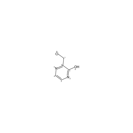 Oc1nccnc1CCl